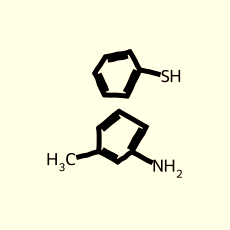 Cc1cccc(N)c1.Sc1ccccc1